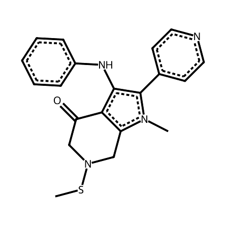 CSN1CC(=O)c2c(Nc3ccccc3)c(-c3ccncc3)n(C)c2C1